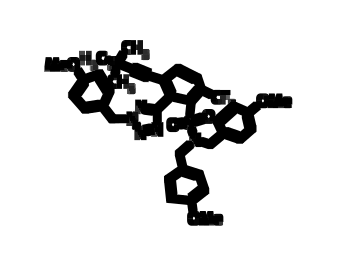 COc1ccc(CN(Cc2ccc(OC)cc2)S(=O)(=O)c2c(C(F)(F)F)ccc(C#C[Si](C)(C)C)c2-c2nnn(Cc3ccc(OC)cc3)n2)cc1